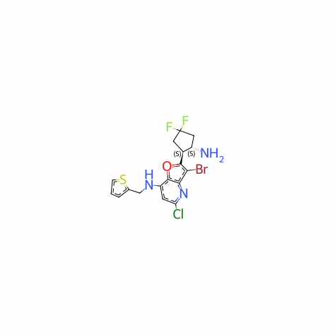 N[C@H]1CC(F)(F)C[C@@H]1c1oc2c(NCc3cccs3)cc(Cl)nc2c1Br